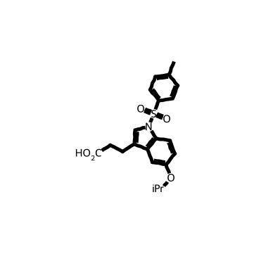 Cc1ccc(S(=O)(=O)n2cc(CCC(=O)O)c3cc(OC(C)C)ccc32)cc1